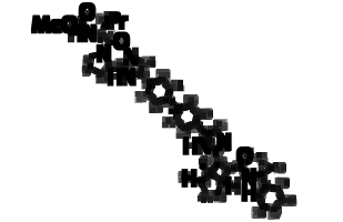 COC(=O)N[C@H](C(=O)N1CCC[C@H]1c1ncc(-c2ccc(-c3ccc(-c4cnc([C@]56[C@H](C(=O)NC7(c8ccccc8)CC7)[C@@H]7CC[C@H]5[C@@]76C)[nH]4)cc3)cc2)[nH]1)C(C)C